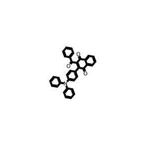 O=C(C1=C(c2ccc(N(c3ccccc3)c3ccccc3)cc2)C(=O)c2ccccc2C1=O)c1ccccc1